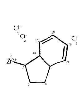 [Cl-].[Cl-].[Cl-].[Zr+3][CH]1CCC2C=CC=CC12